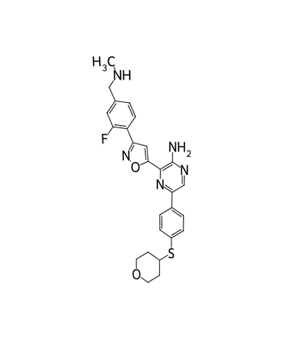 CNCc1ccc(-c2cc(-c3nc(-c4ccc(SC5CCOCC5)cc4)cnc3N)on2)c(F)c1